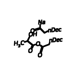 CCCCCCCCCCCC(=O)OC(=O)C(C)O.CCCCCCCCCCC[C](=O)[Na]